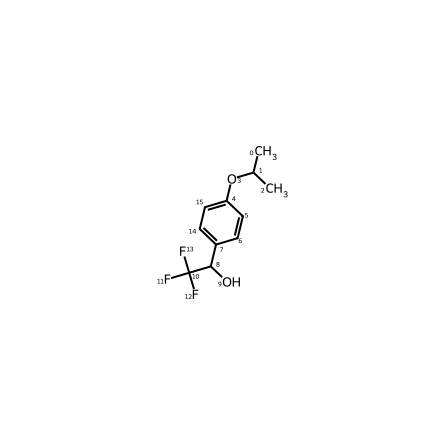 CC(C)Oc1ccc(C(O)C(F)(F)F)cc1